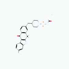 CC(C)(C)OC(=O)NS(=O)(=O)N1CCC(Cc2ccc3c(c2)C(C)(C)c2[nH]c4cc(C#N)ccc4c2C3=O)CC1